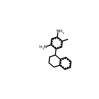 Cc1cc(C2CCCc3ccccc32)c(N)cc1N